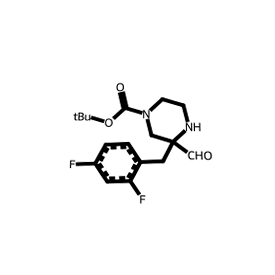 CC(C)(C)OC(=O)N1CCNC(C=O)(Cc2ccc(F)cc2F)C1